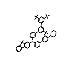 CC(C)(C)c1cc(-c2cccc(N(c3cccc(-c4ccc(C5CCCCC5)cc4)c3)c3ccc4c(c3)C(C)(C)c3ccccc3-4)c2)cc(-c2cc(C(C)(C)C)cc(C(C)(C)C)c2)c1